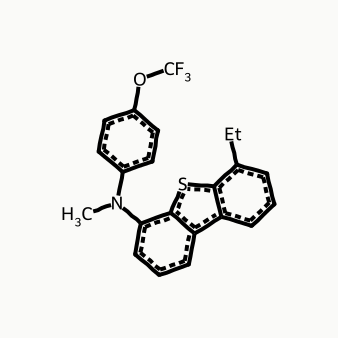 CCc1cccc2c1sc1c(N(C)c3ccc(OC(F)(F)F)cc3)cccc12